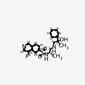 C[C@H](CNCC(C)(O)c1ccccc1)NS(=O)(=O)c1ccc2cncc(F)c2c1